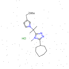 COCc1ccn(C(C)(C)c2nnc(C3CCCCCC3)n2C)c1.Cl